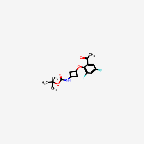 CC(=O)c1cc(F)cc(F)c1OC1CC(NC(=O)OC(C)(C)C)C1